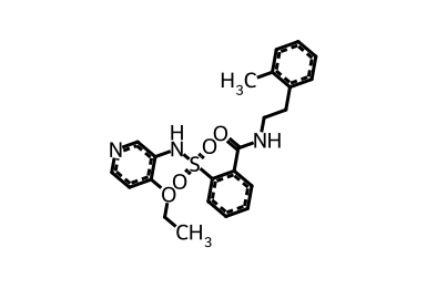 CCOc1ccncc1NS(=O)(=O)c1ccccc1C(=O)NCCc1ccccc1C